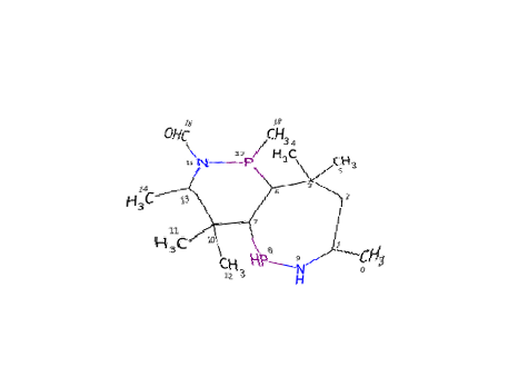 CC1CC(C)(C)C2C(PN1)C(C)(C)C(C)N(C=O)P2C